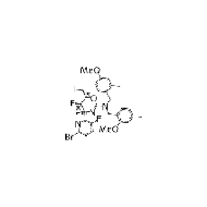 COc1ccc(CN(Cc2ccc(C)cc2OC)C2=N[C@](C)(c3nc(Br)ccc3F)[C@@H](F)[C@@H](CI)O2)c(C)c1